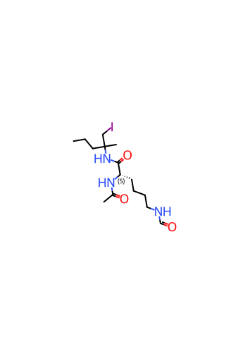 CCCC(C)(CI)NC(=O)[C@H](CCCCNC=O)NC(C)=O